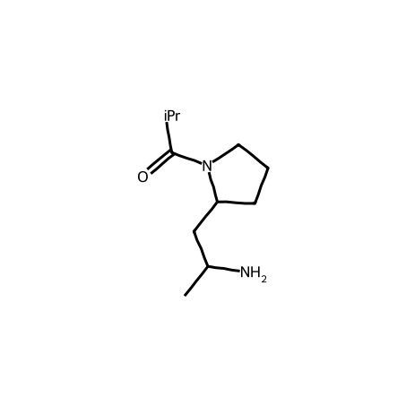 CC(N)CC1CCCN1C(=O)C(C)C